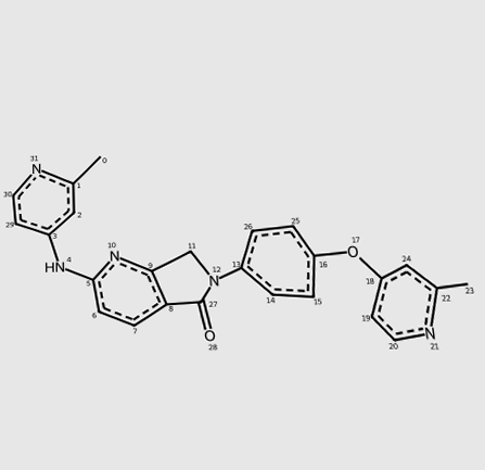 Cc1cc(Nc2ccc3c(n2)CN(c2ccc(Oc4ccnc(C)c4)cc2)C3=O)ccn1